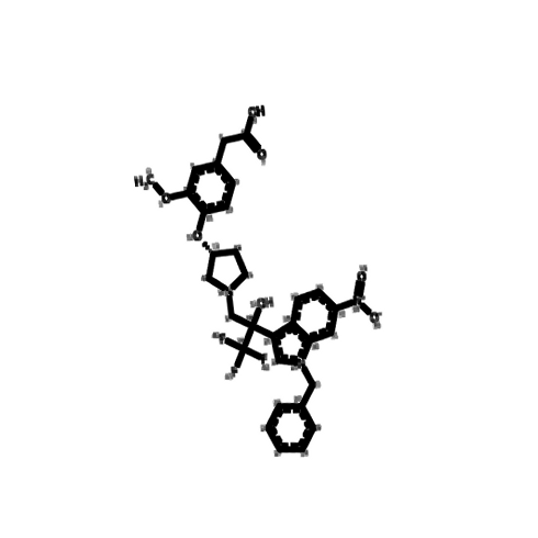 COc1cc(CC(=O)O)ccc1O[C@@H]1CCN(CC(O)(c2cn(Cc3ccccc3)c3cc([N+](=O)[O-])ccc23)C(F)(F)F)C1